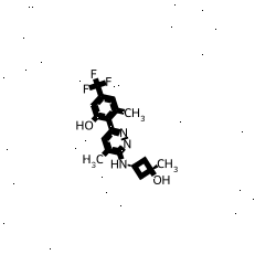 Cc1cc(-c2c(C)cc(C(F)(F)F)cc2O)nnc1N[C@H]1C[C@@](C)(O)C1